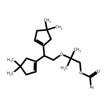 CC(=O)C(=O)OCC(C)(C)OCC(C1=CCC(C)(C)C1)C1=CCC(C)(C)C1